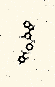 O=C(N[C@H]1CC[C@H](Nc2cc(-c3c[nH]c4ncccc34)cc(Cl)n2)CC1)c1ccc(F)cc1F